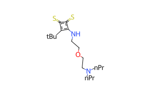 CCCN(CCC)CCOCCNc1c(C(C)(C)C)c(=S)c1=S